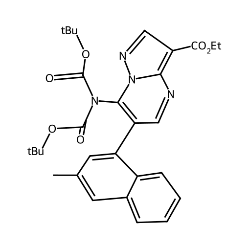 CCOC(=O)c1cnn2c(N(C(=O)OC(C)(C)C)C(=O)OC(C)(C)C)c(-c3cc(C)cc4ccccc34)cnc12